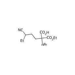 CCCC(CCC(C#N)CC)(C(=O)O)C(=O)OCC